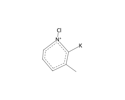 Cc1ccc[n+](Cl)[c]1[K]